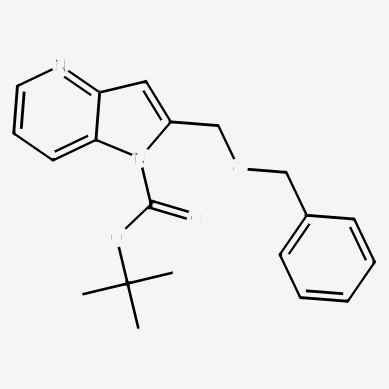 CC(C)(C)OC(=O)n1c(COCc2ccccc2)cc2ncccc21